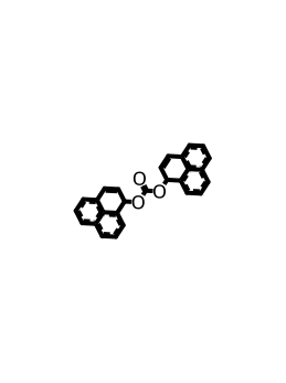 O=C(OC1C=Cc2cccc3cccc1c23)OC1C=Cc2cccc3cccc1c23